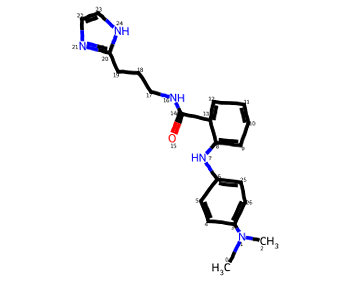 CN(C)c1ccc(Nc2ccccc2C(=O)NCCCc2ncc[nH]2)cc1